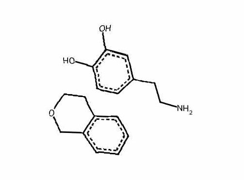 NCCc1ccc(O)c(O)c1.c1ccc2c(c1)CCOC2